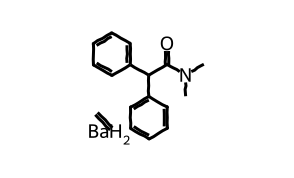 C=C.CN(C)C(=O)C(c1ccccc1)c1ccccc1.[BaH2]